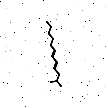 CCCCCC=CC=CCC(C)C